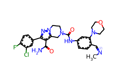 C/N=C\c1ccc(NC(=O)N2CCn3nc(-c4ccc(F)c(Cl)c4)c(C(N)=O)c3C2)cc1N1CCOCC1